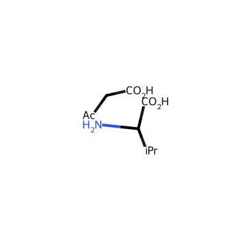 CC(=O)CC(=O)O.CC(C)C(N)C(=O)O